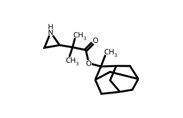 CC(C)(C(=O)OC1(C)C2CC3CC(C2)CC1C3)C1CN1